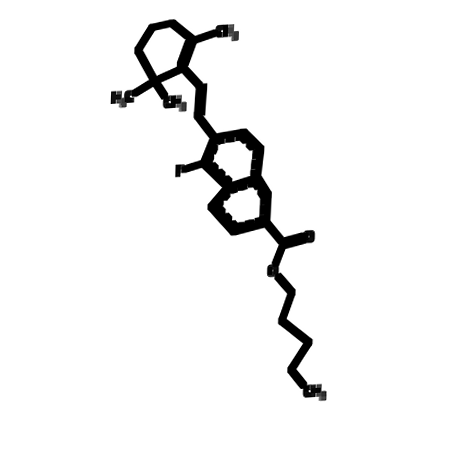 CCCCCOC(=O)c1ccc2c(F)c(C=CC3=C(C)CCCC3(C)C)ccc2c1